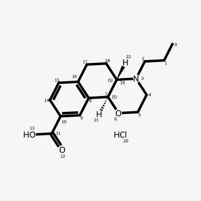 CCCN1CCO[C@H]2c3cc(C(=O)O)ccc3CC[C@@H]21.Cl